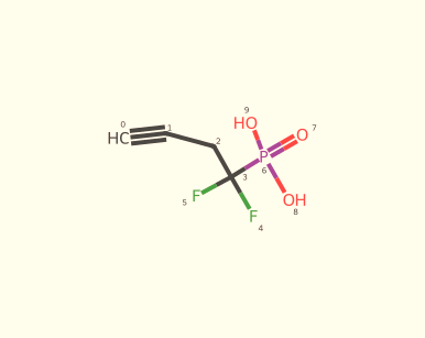 C#CCC(F)(F)P(=O)(O)O